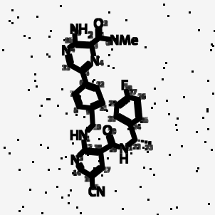 CNC(=O)c1nc(-c2ccc(CNc3ncc(C#N)cc3C(=O)N[C@@H](C)c3ccc(F)cc3)cc2)cnc1N